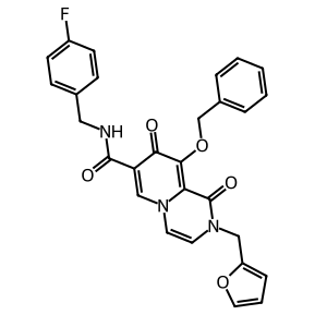 O=C(NCc1ccc(F)cc1)c1cn2ccn(Cc3ccco3)c(=O)c2c(OCc2ccccc2)c1=O